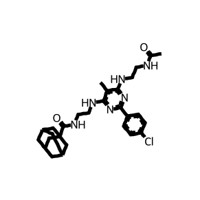 CC(=O)NCCNc1nc(-c2ccc(Cl)cc2)nc(NCCNC(=O)C23CC4CC(CC(C4)C2)C3)c1C